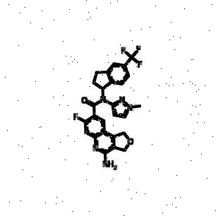 Cn1ccc(N(C(=O)c2cc3c4c(c(N)nc3cc2F)COC4)C2CCc3cc(C(F)(F)F)ccc32)n1